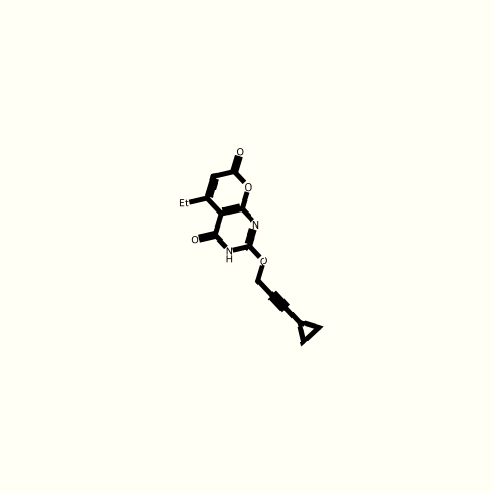 CCc1cc(=O)oc2nc(OCC#CC3CC3)[nH]c(=O)c12